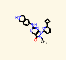 CCn1c(=O)c2cnc(Nc3ccc4c(c3)CCNC4)nc2n1-c1cccc(C2CCC2)n1